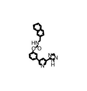 O=C(NCc1ccc2ccccc2c1)Oc1cccc(-c2cncc(-c3ncn[nH]3)c2)c1